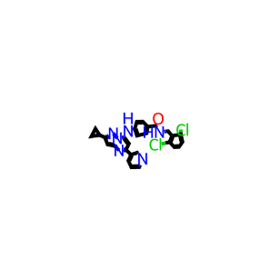 O=C(NCc1c(Cl)cccc1Cl)c1ccc(Nc2cc(-c3cccnc3)nc3cc(C4CC4)nn23)cc1